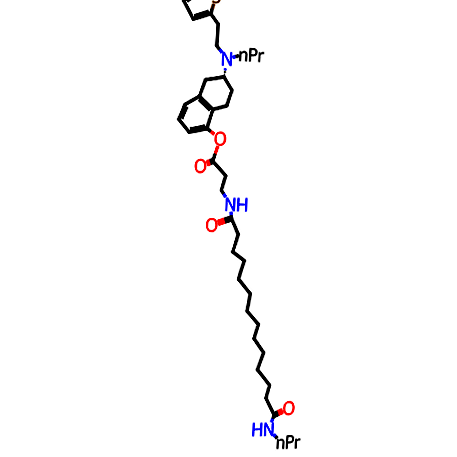 CCCNC(=O)CCCCCCCCCCCCC(=O)NCCC(=O)Oc1cccc2c1CC[C@@H](N(CCC)CCc1cccs1)C2